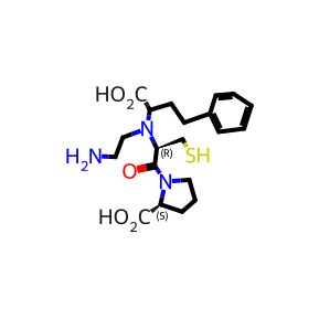 NCCN(C(CCc1ccccc1)C(=O)O)[C@@H](CS)C(=O)N1CCC[C@H]1C(=O)O